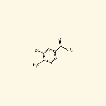 CC(=O)c1cnc(C)[n+]([O-])c1